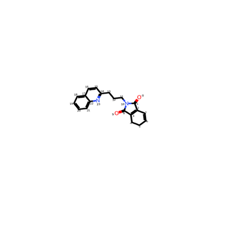 O=C1C2=C(CCC=C2)C(=O)N1CCCc1ccc2ccccc2n1